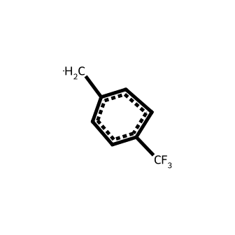 [CH2]c1ccc(C(F)(F)F)cc1